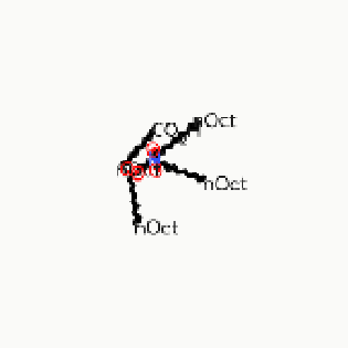 CCCCCCCCC=CCCCCCCCC(=O)O.CCCCCCCCC=CCCCCCCCC(=O)OCCCN(C(=O)CCCCCCCC=CCCCCCCCC)C(=O)CCCCCCCC=CCCCCCCCC